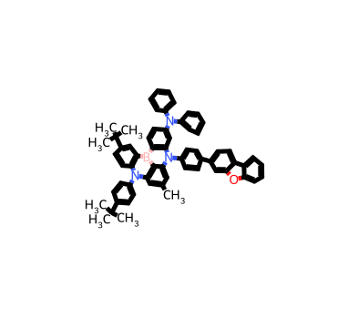 Cc1cc2c3c(c1)N(c1ccc(-c4ccc5c(c4)oc4ccccc45)cc1)c1cc(N(c4ccccc4)c4ccccc4)ccc1B3c1cc(C(C)(C)C)ccc1N2c1ccc(C(C)(C)C)cc1